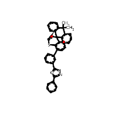 CC1(C)c2ccccc2C2(c3ccccc3Sc3c(-c4cccc(-c5nnc(-c6ccccc6)o5)c4)cccc32)c2ccccc21